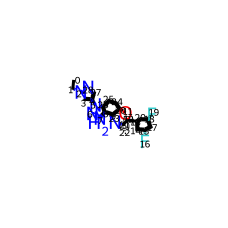 CCn1cc(-n2nnc3cc(O[C@H](c4cc(F)cc(F)c4)[C@H](C)N)ccc32)cn1